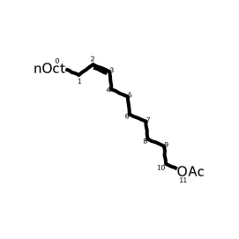 CCCCCCCCC/C=C\CCCCCCCOC(C)=O